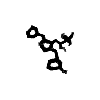 NC(Cc1c(Cc2ccccc2)ncn1Cc1cccc(O)c1)C(F)(F)F